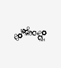 O=C([C@@H]1CCNC[C@H]1c1ccccc1)N1CCC(O)(Cn2cnc3c(cnn3-c3ccc4c(c3)OCCO4)c2=O)CC1